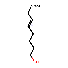 CCCCCC/C=C/CCCCO